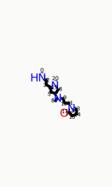 CNCCC1CC(N(C)CCCN2CCCC2=O)CN1C